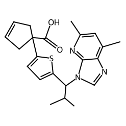 Cc1cc(C)c2ncn(C(c3ccc(C4(C(=O)O)CC=CC4)s3)C(C)C)c2n1